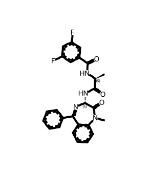 C[C@H](NC(=O)c1cc(F)cc(F)c1)C(=O)N[C@H]1N=C(c2ccccc2)c2ccccc2N(C)C1=O